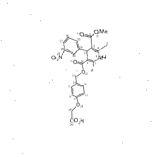 COC(=O)C1=C(C)NC(C)=C(C(=O)OCc2ccc(OCC(=O)O)cc2)C1c1cccc([N+](=O)[O-])c1